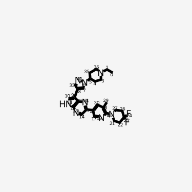 CCN1CCC(n2cc(-c3c[nH]c4ncc(-c5cnc(N6CCC(F)(F)CC6)c(C)c5)nc34)cn2)CC1